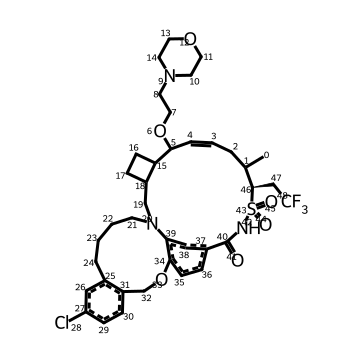 CC1C/C=C\C(OCCN2CCOCC2)C2CCC2CN2CCCCc3cc(Cl)ccc3COc3ccc(cc32)C(=O)NS(=O)(=O)[C@@H]1CC(F)(F)F